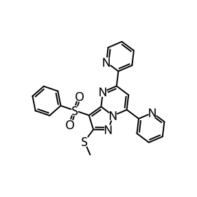 CSc1nn2c(-c3ccccn3)cc(-c3ccccn3)nc2c1S(=O)(=O)c1ccccc1